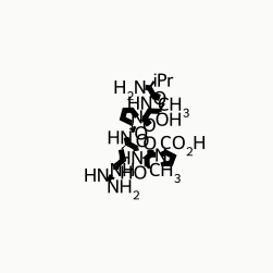 CC(C)[C@H](N)C(=O)N[C@H](C(=O)N1CCC[C@H]1C(=O)N[C@@H](CCCNC(=N)N)C(=O)N[C@H](C(=O)N1CCC[C@H]1C(=O)O)[C@@H](C)O)[C@@H](C)O